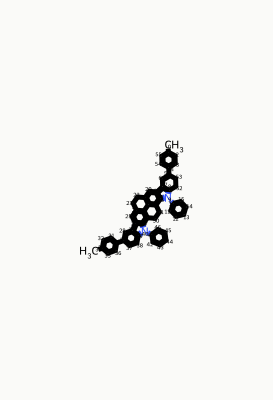 Cc1ccc(C2=Cc3c(n(-c4ccccc4)c4c5c6c(cc34)CCc3cc4c7cc(-c8ccc(C)cc8)ccc7n(-c7ccccc7)c4c(c3-6)CC5)CC2)cc1